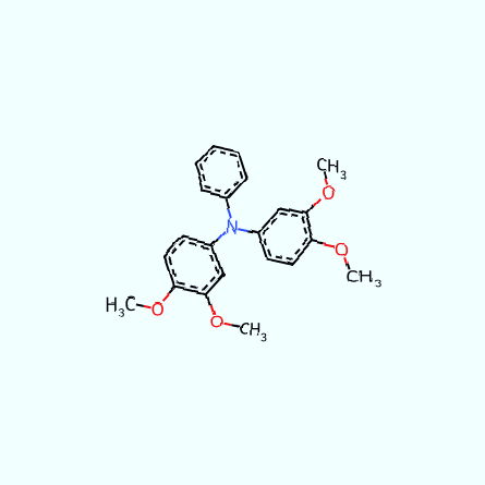 COc1ccc(N(c2ccccc2)c2ccc(OC)c(OC)c2)cc1OC